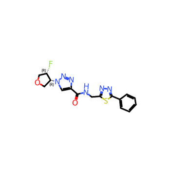 O=C(NCc1nnc(-c2ccccc2)s1)c1cn([C@@H]2COC[C@@H]2F)nn1